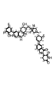 C[C@H]1CN2c3cc(-c4cc(F)cc(F)c4O)nnc3NC[C@H]2CN1CC1[C@H]2CN(C[C@H]3CCN(c4ccc5c(c4)C(=O)N(C4CCC(=O)NC4=O)C5)C[C@@H]3F)C[C@@H]12